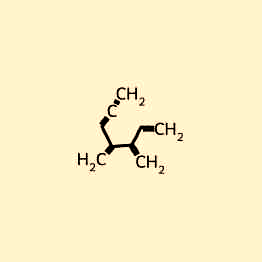 C=C=CC(=C)C(=C)C=C